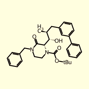 C[C@@H](Cc1cccc(-c2ccccc2)c1)[C@H](O)[C@H]1C(=O)N(Cc2ccccc2)CCN1C(=O)OC(C)(C)C